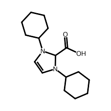 O=C(O)C1N(C2CCCCC2)C=CN1C1CCCCC1